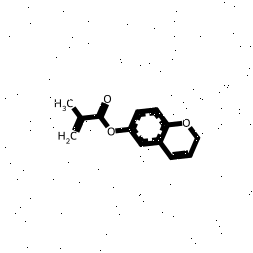 C=C(C)C(=O)Oc1ccc2c(c1)C=CCO2